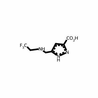 O=C(O)c1cc(CNCC(F)(F)F)[nH]n1